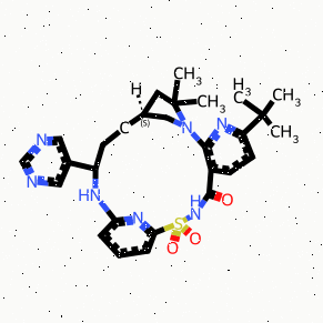 CC(C)(C)c1ccc2c(n1)N1C[C@@H](CCC(c3cncnc3)Nc3cccc(n3)S(=O)(=O)NC2=O)CC1(C)C